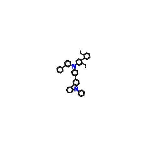 CCc1ccccc1-c1ccc(N(c2ccc(-c3ccc4c(c3)c3ccccc3n4-c3ccccc3)cc2)c2cccc(-c3ccccc3)c2)cc1CC